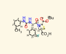 Cc1cccc(NC(=O)NCC(=O)N2[C@H](C(=O)OC(C)(C)C)S[C@@H](C(=O)O)[C@@H]2c2ccccc2F)c1